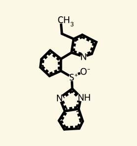 CCc1cccnc1-c1ccccc1[S+]([O-])c1nc2ccccc2[nH]1